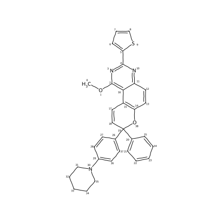 COc1nc(-c2cccs2)nc2ccc3c(c12)C=CC(c1ccccc1)(c1ccc(N2CCCCC2)cc1)O3